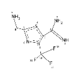 N=C(N)c1sc(CN)nc1C(F)(F)F